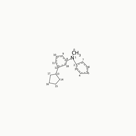 CN(c1ccccc1)c1cccc(C2CCCC2)c1